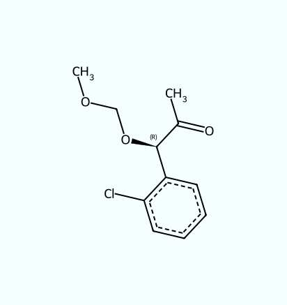 COCO[C@@H](C(C)=O)c1ccccc1Cl